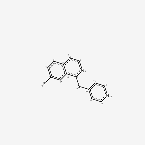 Fc1ccc2ncnc(Sc3ccncc3)c2c1